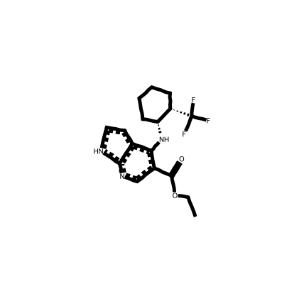 CCOC(=O)c1cnc2[nH]ccc2c1N[C@@H]1CCCC[C@@H]1C(F)(F)F